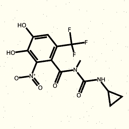 CN(C(=O)NC1CC1)C(=O)c1c(C(F)(F)F)cc(O)c(O)c1[N+](=O)[O-]